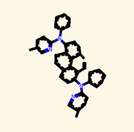 C=Cc1c(N(c2ccccc2)c2ccc(C)cn2)ccc2ccc3c(N(c4ccccc4)c4ccc(C)cn4)ccc(C)c3c12